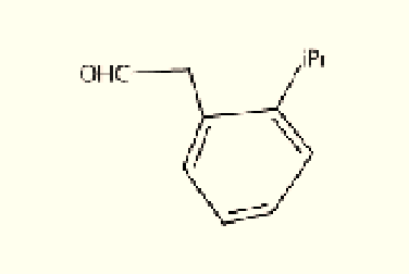 CC(C)c1ccccc1CC=O